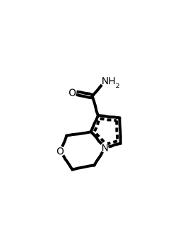 NC(=O)c1ccn2c1COCC2